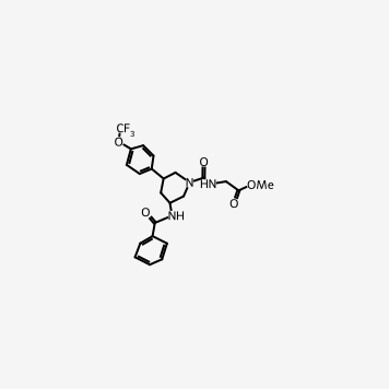 COC(=O)CNC(=O)N1CC(NC(=O)c2ccccc2)CC(c2ccc(OC(F)(F)F)cc2)C1